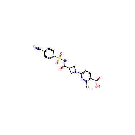 Cc1nc(N2CC(C(=O)NS(=O)(=O)c3ccc(C#N)cc3)C2)ccc1C(=O)O